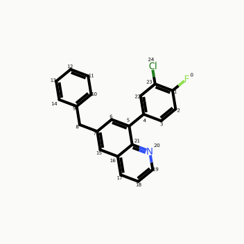 Fc1ccc(-c2cc(Cc3ccccc3)cc3cccnc23)cc1Cl